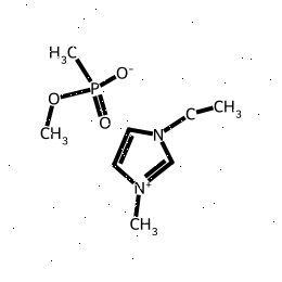 CCn1cc[n+](C)c1.COP(C)(=O)[O-]